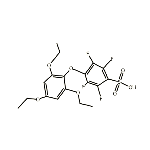 CCOc1cc(OCC)c(Oc2c(F)c(F)c(S(=O)(=O)O)c(F)c2F)c(OCC)c1